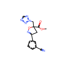 COC(=O)C1(Cn2ncnn2)CC(c2cccc(C#N)c2)=NO1